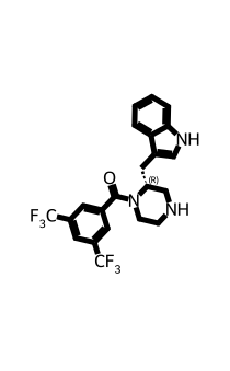 O=C(c1cc(C(F)(F)F)cc(C(F)(F)F)c1)N1CCNC[C@H]1Cc1c[nH]c2ccccc12